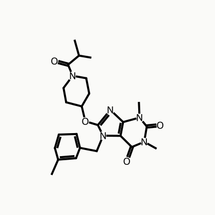 Cc1cccc(Cn2c(OC3CCN(C(=O)C(C)C)CC3)nc3c2c(=O)n(C)c(=O)n3C)c1